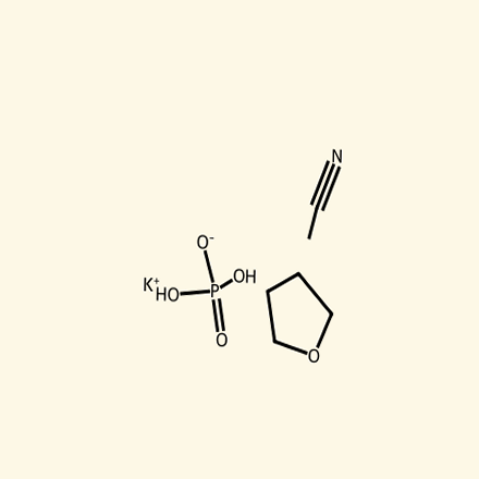 C1CCOC1.CC#N.O=P([O-])(O)O.[K+]